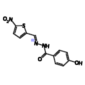 O=C(N/N=C/c1ccc([N+](=O)[O-])s1)c1ccc(O)cc1